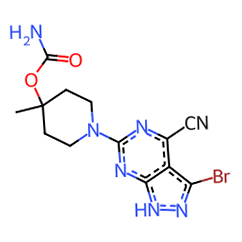 CC1(OC(N)=O)CCN(c2nc(C#N)c3c(Br)n[nH]c3n2)CC1